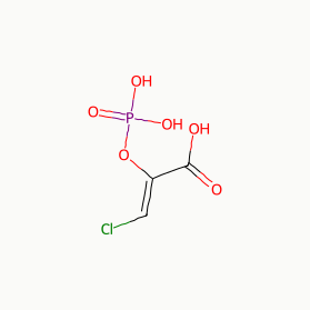 O=C(O)C(=CCl)OP(=O)(O)O